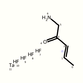 C/C=C/C(=O)CN.F.F.F.F.[Ta]